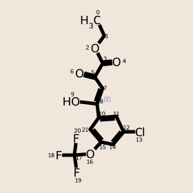 CCOC(=O)C(=O)/C=C(\O)c1cc(Cl)cc(OC(F)(F)F)c1